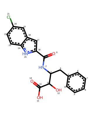 O=C(NC(Cc1ccccc1)C(O)C(=O)O)c1cc2cc(Cl)ccc2[nH]1